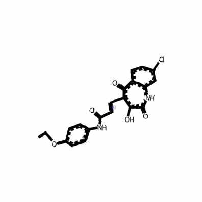 CCOc1ccc(NC(=O)/C=C/c2c(O)c(=O)[nH]c3cc(Cl)ccc3c2=O)cc1